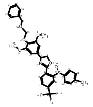 COc1cc(C2COC(c3ccc(C(F)(F)F)cc3[S@@+]([O-])c3ccc(C)cc3)=N2)cc(OC)c1OCOCc1ccccc1